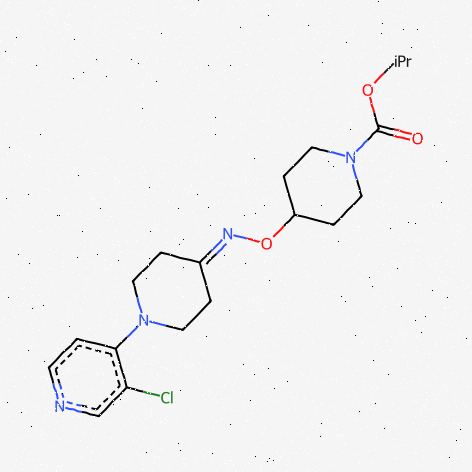 CC(C)OC(=O)N1CCC(ON=C2CCN(c3ccncc3Cl)CC2)CC1